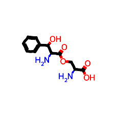 N[C@H](C(=O)OC[C@H](N)C(=O)O)C(O)c1ccccc1